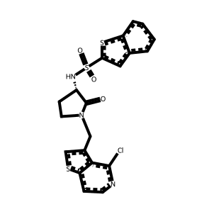 O=C1[C@@H](NS(=O)(=O)c2cc3ccccc3s2)CCN1Cc1csc2ccnc(Cl)c12